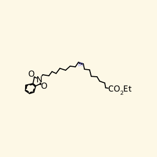 CCOC(=O)CCCCCCC/C=C\CCCCCCCCN1C(=O)c2ccccc2C1=O